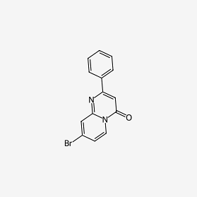 O=c1cc(-c2ccccc2)nc2cc(Br)ccn12